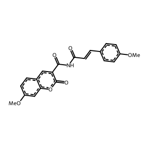 COc1ccc(C=CC(=O)NC(=O)c2cc3ccc(OC)cc3oc2=O)cc1